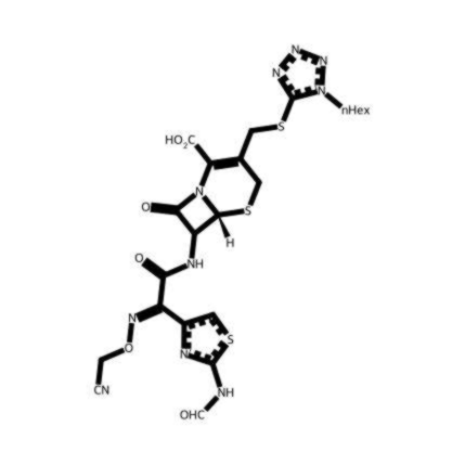 CCCCCCn1nnnc1SCC1=C(C(=O)O)N2C(=O)C(NC(=O)/C(=N/OCC#N)c3csc(NC=O)n3)[C@H]2SC1